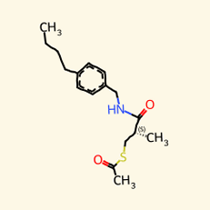 CCCCc1ccc(CNC(=O)[C@H](C)CSC(C)=O)cc1